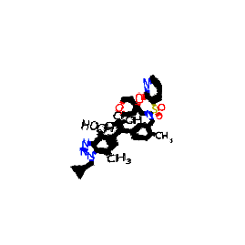 Cc1ccc(C(c2cc(C)c3c(nnn3CC3CC3)c2C)C(C)(C)C(=O)O)cc1CN1CC2(CCOCC2)Oc2ncccc2S1(=O)=O